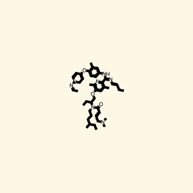 C/C=N\N1C=CC(Oc2ccc(N/C(=N/C=C/CC)c3nc(C)c(OCC(CC)N(CCCC(C)CC)C(=O)/C=C/CN(C)C)cc3C)cc2C)=CC1